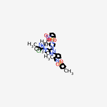 Cc1ccc(S(=O)(=O)n2cc(C)c3c(-c4nc5c(c(N6CCN(S(=O)(=O)c7ccccc7[N+](=O)[O-])C(C)C6)n4)CN(c4c(Cl)c(C(C)C)nn4C)CC5)cccc32)cc1